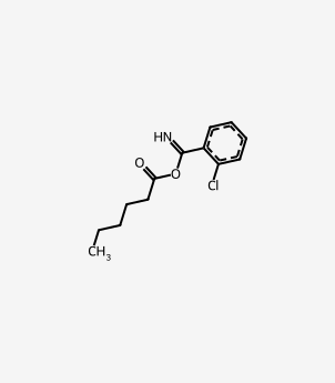 CCCCCC(=O)OC(=N)c1ccccc1Cl